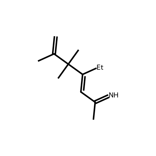 C=C(C)C(C)(C)/C(=C/C(C)=N)CC